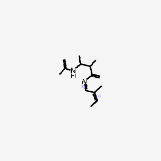 C=C(C)NC(C)C(C)C(=C)/N=C\C(C)=C/C